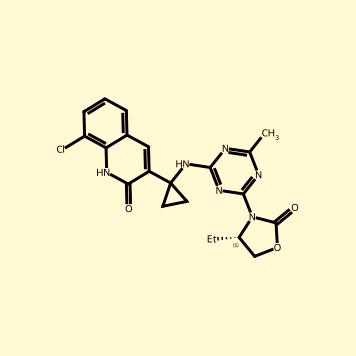 CC[C@H]1COC(=O)N1c1nc(C)nc(NC2(c3cc4cccc(Cl)c4[nH]c3=O)CC2)n1